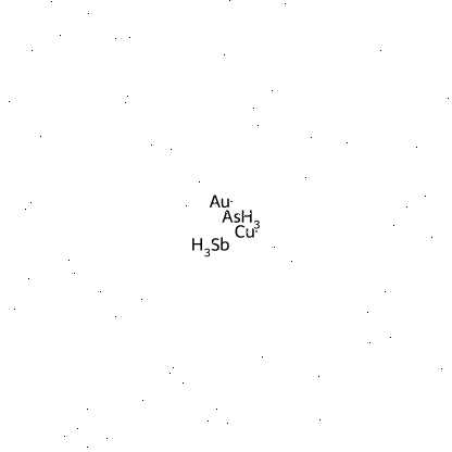 [AsH3].[Au].[Cu].[SbH3]